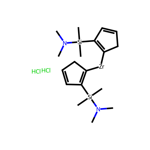 CN(C)[Si](C)(C)C1=[C]([Zr][C]2=C([Si](C)(C)N(C)C)C=CC2)CC=C1.Cl.Cl